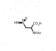 CC(=O)NC(C[SH](=N)=O)C(=O)O